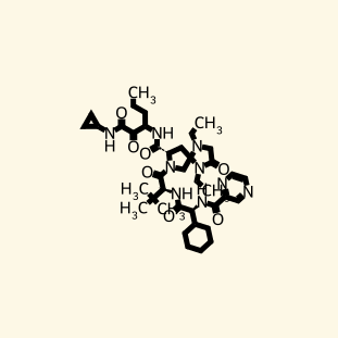 CCCC(NC(=O)[C@@H]1CC2(CN1C(=O)[C@@H](NC(=O)[C@@H](NC(=O)c1cnccn1)C1CCCCC1)C(C)(C)C)N(CC)CC(=O)N2CC)C(=O)C(=O)NC1CC1